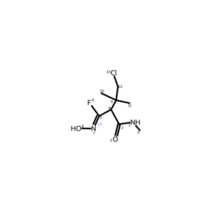 CNC(=O)C(/C(F)=N/O)C(C)(C)CCl